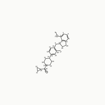 COc1cccc2c1C(Cc1ccc(C3CCN(C(=O)C4CC4)CC3)cc1C)CC2